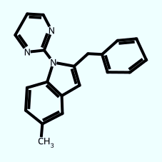 Cc1ccc2c(c1)cc(Cc1ccccc1)n2-c1ncccn1